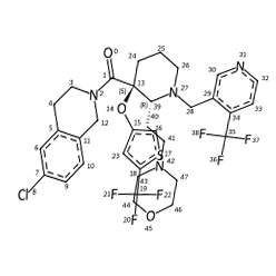 O=C(N1CCc2cc(Cl)ccc2C1)[C@]1(Oc2csc(C(F)(F)F)c2)CCCN(Cc2cnccc2C(F)(F)F)[C@@H]1CCN1CCOCC1